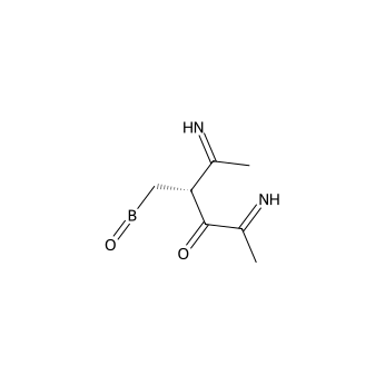 CC(=N)C(=O)[C@H](CB=O)C(C)=N